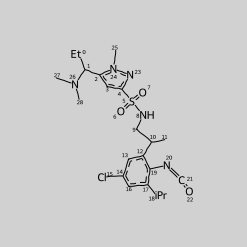 CCC(c1cc(S(=O)(=O)NCC(C)c2cc(Cl)cc(C(C)C)c2N=C=O)nn1C)N(C)C